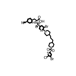 N#Cc1ccc(CC(NS(=O)(=O)c2cnc(N3CCC(CCCC4CCN(S(=O)(=O)c5cc(Br)c(Cl)s5)CC4)CC3)c(Br)c2)C(=O)O)cc1